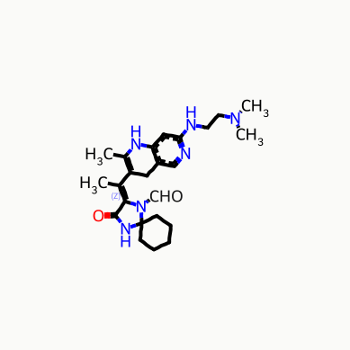 CC1=C(/C(C)=C2/C(=O)NC3(CCCCC3)N2C=O)Cc2cnc(NCCN(C)C)cc2N1